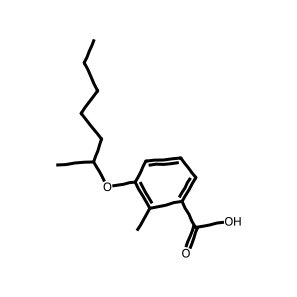 CCCCCC(C)Oc1cccc(C(=O)O)c1C